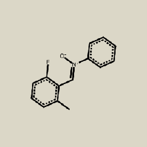 Cc1cccc(F)c1C=[N+]([O-])c1ccccc1